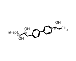 C=C[C@@H](O)c1ccc(-c2ccc(C[C@@H](O)[C@H](O)CCCCCCC)cc2)cc1